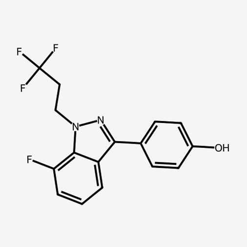 Oc1ccc(-c2nn(CCC(F)(F)F)c3c(F)cccc23)cc1